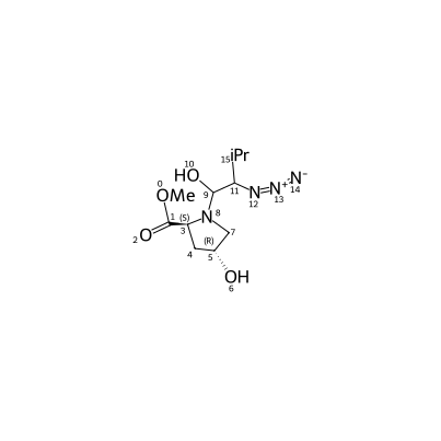 COC(=O)[C@@H]1C[C@@H](O)CN1C(O)C(N=[N+]=[N-])C(C)C